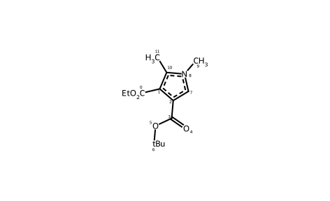 CCOC(=O)c1c(C(=O)OC(C)(C)C)cn(C)c1C